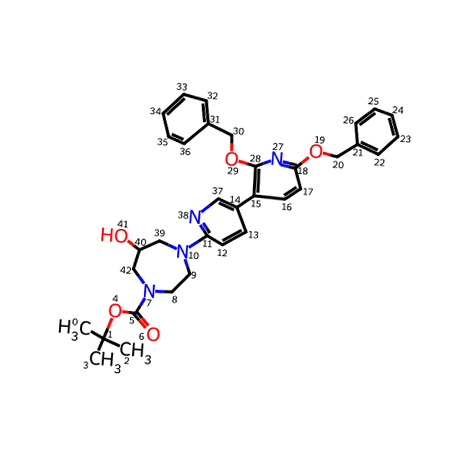 CC(C)(C)OC(=O)N1CCN(c2ccc(-c3ccc(OCc4ccccc4)nc3OCc3ccccc3)cn2)CC(O)C1